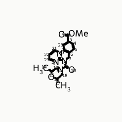 COC(=O)c1ccc(CN(C(=O)N2CC(C)OC(C)C2)c2ncccn2)cc1